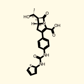 C[C@@H](O)[C@H]1C(=O)N2C(C(=O)O)=C(c3ccc(NC(=O)Nc4cccs4)cc3)C[C@H]12